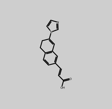 O=C(O)C=Cc1ccc2c(c1)C=C(n1ccnc1)CC2